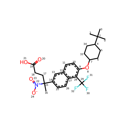 CC(C)(C)C1CCC(Oc2ccc3cc(C(C)(CCC(=O)O)[N+](=O)[O-])ccc3c2C(F)(F)F)CC1